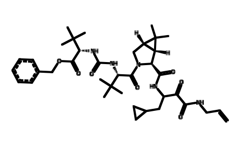 C=CCNC(=O)C(=O)C(CC1CC1)NC(=O)[C@@H]1[C@@H]2[C@H](CN1C(=O)[C@@H](NC(=O)N[C@H](C(=O)OCc1ccccc1)C(C)(C)C)C(C)(C)C)C2(C)C